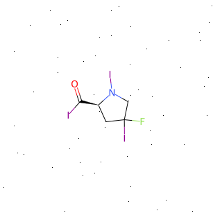 O=C(I)[C@@H]1CC(F)(I)CN1I